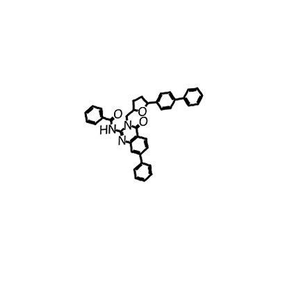 O=C(Nc1nc2cc(-c3ccccc3)ccc2c(=O)n1CC1CCC(c2ccc(-c3ccccc3)cc2)O1)c1ccccc1